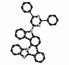 c1ccc(-c2cc(-n3c4ccccc4c4c3ccc3c5ccccc5c5nc6ccccc6n5c34)nc(-c3ccccc3)n2)cc1